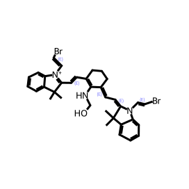 CC1(C)C(/C=C/C2=C(NCO)C(=C/C=C3/N(/C=C/Br)c4ccccc4C3(C)C)/CCC2)=[N+](/C=C/Br)c2ccccc21